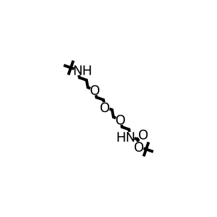 CC(C)(C)NCCCOCCOCCOCCNC(=O)OC(C)(C)C